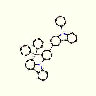 c1ccc(-n2c3ccccc3c3cc(-c4ccc5c(c4)C(c4ccccc4)(c4ccccc4)c4cccc6c7ccccc7n-5c46)ccc32)cc1